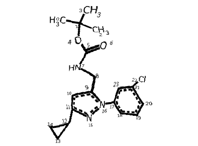 CC(C)(C)OC(=O)NCc1cc(C2CC2)nn1-c1cccc(Cl)c1